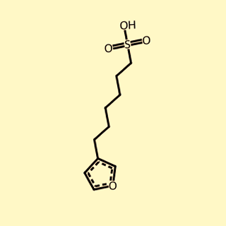 O=S(=O)(O)CCCCCCc1ccoc1